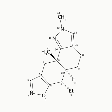 CC[C@@H]1c2oncc2C[C@]2(C)c3nn(C)cc3CC[C@@H]12